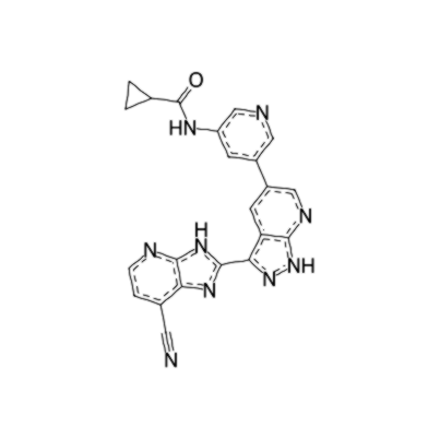 N#Cc1ccnc2[nH]c(-c3n[nH]c4ncc(-c5cncc(NC(=O)C6CC6)c5)cc34)nc12